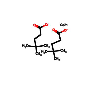 CC(C)(C)CCC(=O)[O-].CC(C)(C)CCC(=O)[O-].[Co+2]